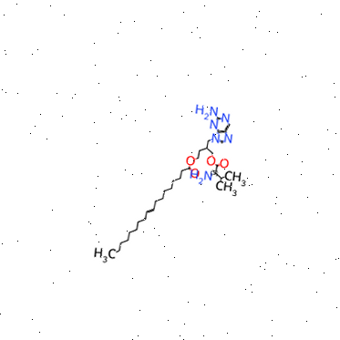 CCCCCCCCC=CCCCCCCCC(=O)OCCC(COC(=O)[C@@H](N)C(C)C)Cn1cnc2cnc(N)nc21